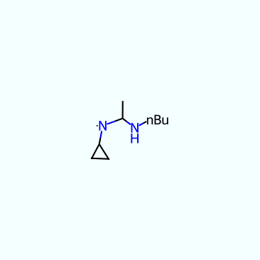 CCCCNC(C)[N]C1CC1